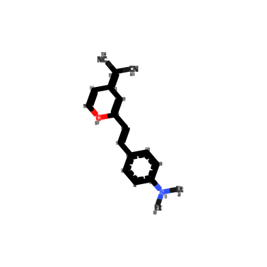 CCN(CC)c1ccc(C=CC2=CC(=C(C#N)C#N)C=CO2)cc1